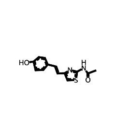 CC(=O)Nc1nc(/C=C/c2ccc(O)cc2)cs1